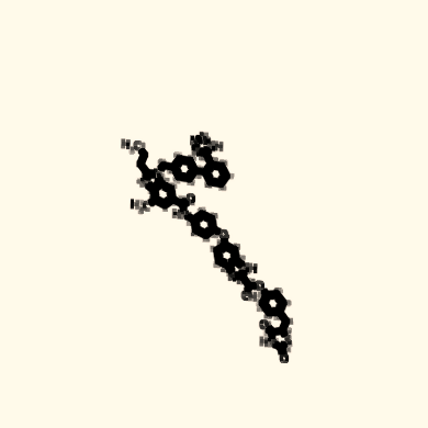 CCCc1nc2c(C)cc(C(=O)Nc3ccc(Oc4ccc5nc(C(C)Oc6ccc(CC7SC(=O)NC7=O)cc6)[nH]c5c4)cc3)cc2n1Cc1ccc(-c2ccccc2-c2nnn[nH]2)cc1